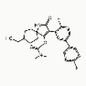 CN(C)C(=O)OC1=C(c2cc(-c3ccc(F)cc3)ccc2Cl)C(=O)NC12CCC(CO)CC2